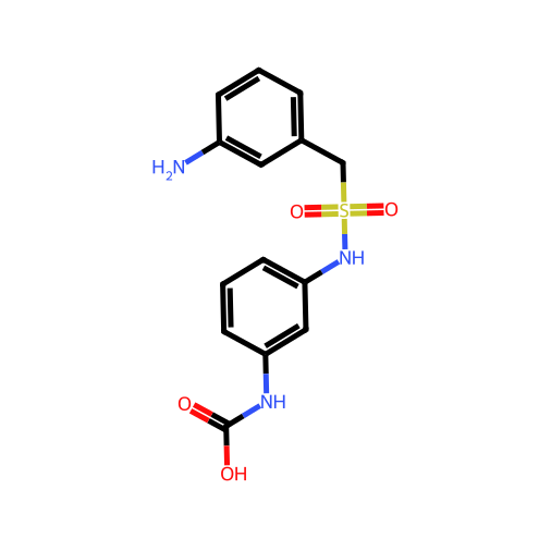 Nc1cccc(CS(=O)(=O)Nc2cccc(NC(=O)O)c2)c1